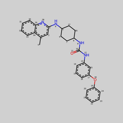 Cc1cc(NC2CCC(NC(=O)Nc3cccc(Oc4ccccc4)c3)CC2)nc2ccccc12